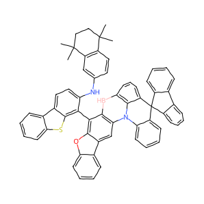 CC1(C)CCC(C)(C)c2cc(Nc3ccc4c(sc5ccccc54)c3-c3c4c(cc5c3oc3ccccc35)N3c5ccccc5C5(c6ccccc6-c6ccccc65)c5cccc(c53)B4)ccc21